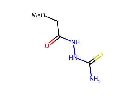 COCC(=O)NNC(N)=S